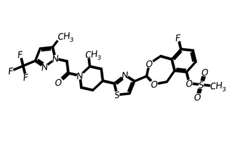 Cc1cc(C(F)(F)F)nn1CC(=O)N1CCC(c2nc(C3OCc4c(F)ccc(OS(C)(=O)=O)c4CO3)cs2)CC1C